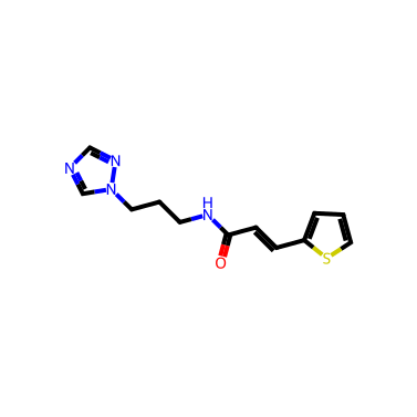 O=C(C=Cc1cccs1)NCCCn1cncn1